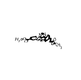 COC(=O)CCc1ccc(-c2ncnc(N3CCC(C(=O)OC)CC3)c2[N+](=O)[O-])cc1